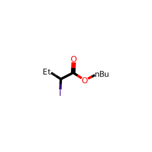 CCCCOC(=O)C(I)CC